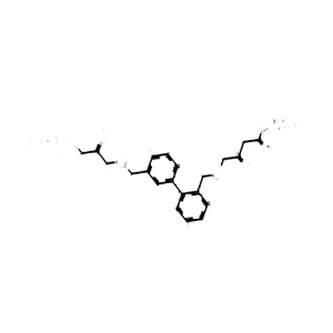 CCOC(=O)CC(=O)COCc1cccc(-c2ccccc2COCC(=O)CC(=O)OC)c1